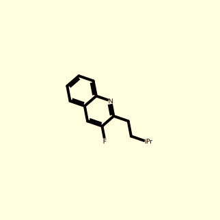 CC(C)CCc1nc2ccccc2cc1F